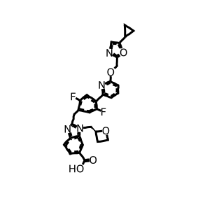 O=C(O)c1ccc2nc(Cc3cc(F)c(-c4cccc(OCc5ncc(C6CC6)o5)n4)cc3F)n(C[C@@H]3CCO3)c2c1